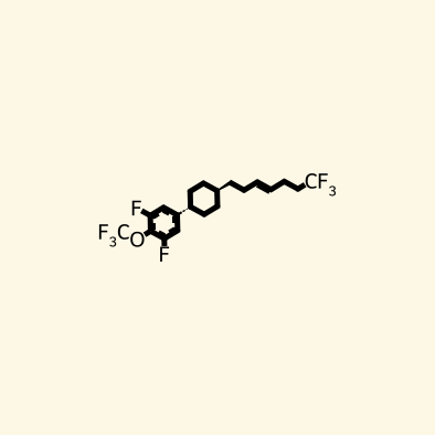 Fc1cc([C@H]2CC[C@H](CCC=CCCC(F)(F)F)CC2)cc(F)c1OC(F)(F)F